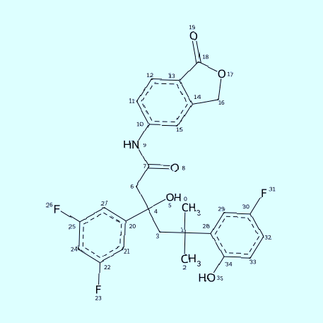 CC(C)(CC(O)(CC(=O)Nc1ccc2c(c1)COC2=O)c1cc(F)cc(F)c1)c1cc(F)ccc1O